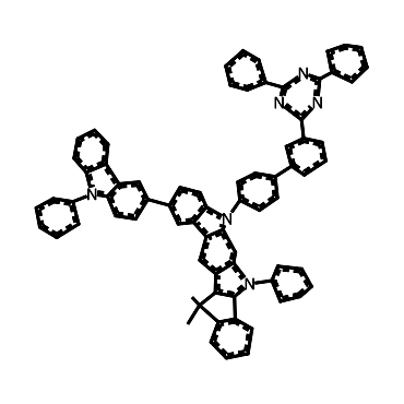 CC1(C)c2ccccc2-c2c1c1cc3c4cc(-c5ccc6c(c5)c5ccccc5n6-c5ccccc5)ccc4n(-c4ccc(-c5cccc(-c6nc(-c7ccccc7)nc(-c7ccccc7)n6)c5)cc4)c3cc1n2-c1ccccc1